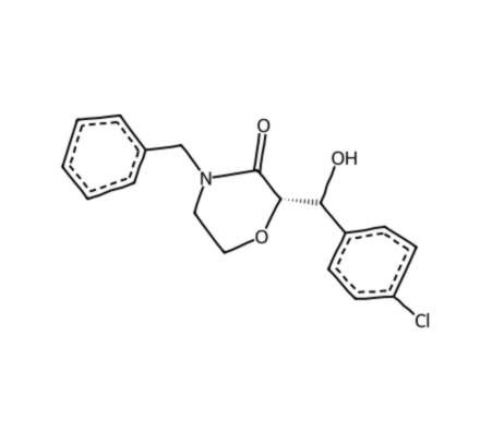 O=C1[C@H](C(O)c2ccc(Cl)cc2)OCCN1Cc1ccccc1